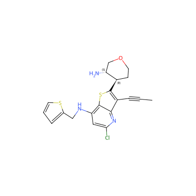 CC#Cc1c([C@@H]2CCOC[C@H]2N)sc2c(NCc3cccs3)cc(Cl)nc12